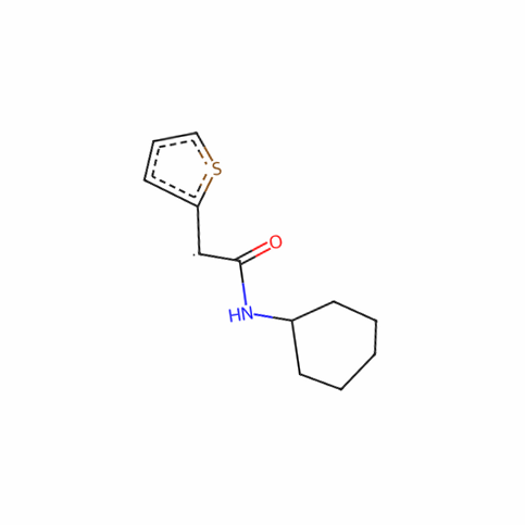 O=C([CH]c1cccs1)NC1CCCCC1